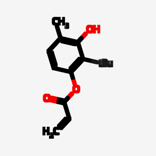 C=CC(=O)Oc1ccc(C)c(O)c1C(C)(C)C